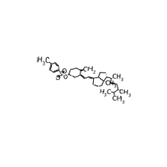 C=C1CC[C@H](OS(=O)(=O)c2ccc(C)cc2)C/C1=C/C=C1\CCC[C@@]2(C)C1CC[C@@H]2[C@H](C)/C=C/[C@H](C)C(C)C